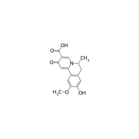 COc1cc2c(cc1O)CC(C)n1cc(C(=O)O)c(=O)cc1-2